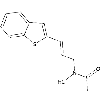 CC(=O)N(O)C/C=C/c1cc2ccccc2s1